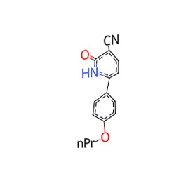 CCCOc1ccc(-c2ccc(C#N)c(=O)[nH]2)cc1